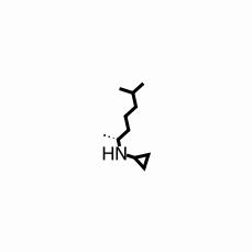 CC(C)CCC[C@@H](C)NC1CC1